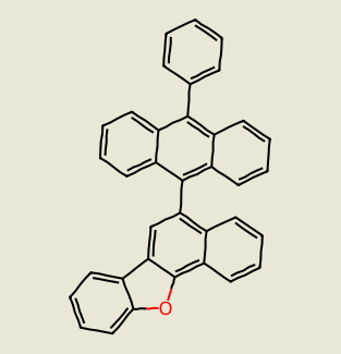 c1ccc(-c2c3ccccc3c(-c3cc4c5ccccc5oc4c4ccccc34)c3ccccc23)cc1